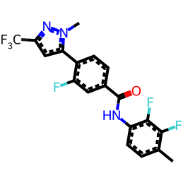 Cc1ccc(NC(=O)c2ccc(-c3cc(C(F)(F)F)nn3C)c(F)c2)c(F)c1F